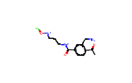 CC(=O)c1ccc(C(=O)NCCCNOCl)cc1CN